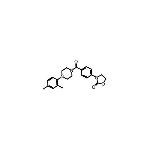 Cc1ccc(N2CCN(C(=O)c3ccc(N4CCOC4=O)cc3)CC2)c(C)c1